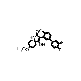 CO[C@H]1CC[C@@]2(CC1)NC(=O)C(c1cc(-c3ccc(F)c(F)c3)ccc1Cl)=C2O